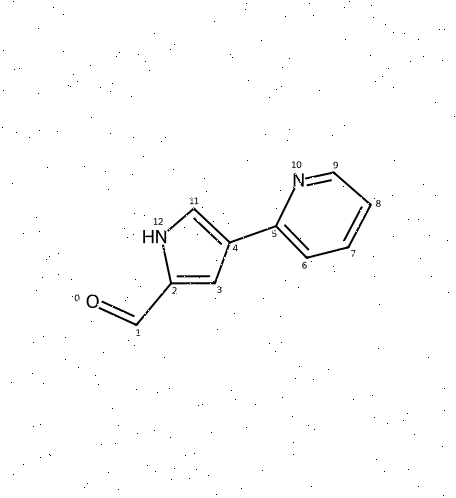 O=Cc1cc(-c2ccccn2)c[nH]1